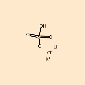 O=S(=O)([O-])O.[Cl-].[K+].[Li+]